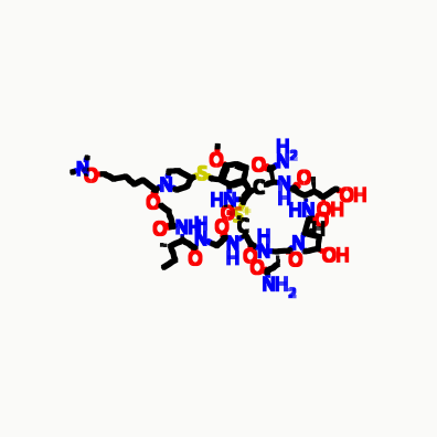 CCC(=O)N[C@H](C(=O)NCC(=O)N[C@H]1C[S+]([O-])c2[nH]c3c(CSC4CCN(C(=O)CCCCCON(C)C)CC4)c(OC)ccc3c2C[C@@H](C(N)=O)NC(=O)[C@H]([C@@H](C)[C@@H](O)CO)NC(=O)[C@@H]2C[C@@H](O)CN2C(=O)[C@H](CC(N)=O)NC1=O)[C@@H](C)CC